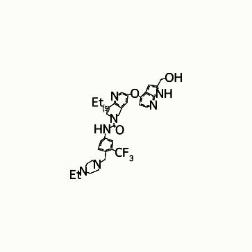 CC[C@H]1CN(C(=O)Nc2ccc(CN3CCN(CC)CC3)c(C(F)(F)F)c2)Cc2cc(Oc3ccnc4[nH]c(CO)cc34)cnc21